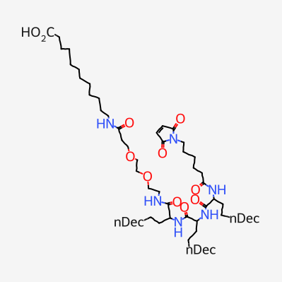 CCCCCCCCCCCCC(NC(=O)CCCCCN1C(=O)C=CC1=O)C(=O)NC(CCCCCCCCCCCC)C(=O)NC(CCCCCCCCCCCC)C(=O)NCCOCCOCCC(=O)NCCCCCCCCCCCC(=O)O